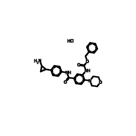 Cl.NC1CC1c1ccc(NC(=O)c2ccc(N3CCOCC3)c(NC(=O)OCc3ccccc3)c2)cc1